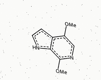 COc1cnc(OC)c2[nH]ccc12